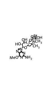 CCC(C)(O)P(=O)(O)OC(C)(C)CCO[C@H]([C@H](O)CO)n1cnc2c(OC)nc(N)nc21